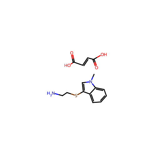 Cn1cc(SCCN)c2ccccc21.O=C(O)C=CC(=O)O